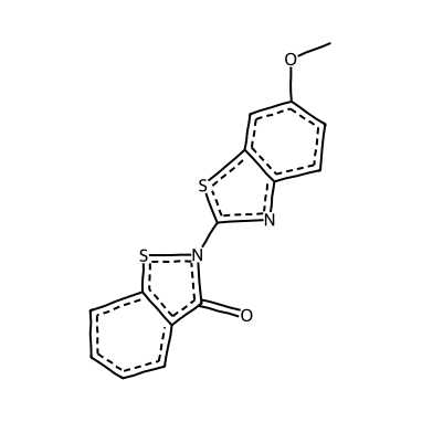 COc1ccc2nc(-n3sc4ccccc4c3=O)sc2c1